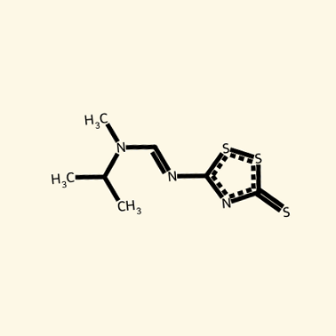 CC(C)N(C)/C=N/c1nc(=S)ss1